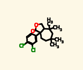 CC1(C)CCC2(c3ccc(Cl)c(Cl)c3)C(=O)OCC2C(C)(C)C1